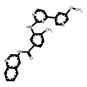 COc1cncc(-c2ccnc(Nc3cc(C(=O)Nc4cnc5ccccc5c4)ccc3C)n2)c1